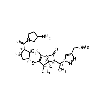 COCc1cn([C@H](C)[C@H]2C(=O)N3C(C(=O)O)=C(S[C@@H]4CN[C@H](C(=O)N5CCC(N)C5)C4)[C@H](C)[C@H]23)nn1